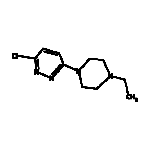 CCN1CCN(c2ccc(Cl)nn2)CC1